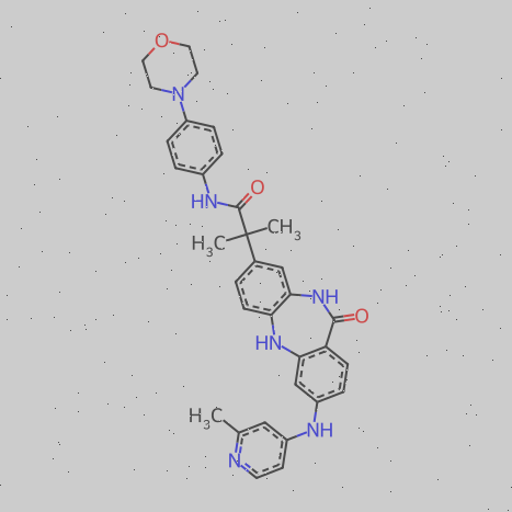 Cc1cc(Nc2ccc3c(c2)Nc2ccc(C(C)(C)C(=O)Nc4ccc(N5CCOCC5)cc4)cc2NC3=O)ccn1